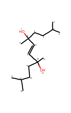 CC(C)CCC(C)(O)C=CC(C)(O)CCC(C)C